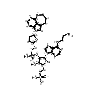 NCCNc1ncnc2c1ncn2[C@@H]1O[C@H](COP(=O)(O)S)[C@@H](O)[C@H]1OP(=O)(S)OC[C@@H]1CC[C@H](n2cc3c4c(ncnc42)NCCC3)O1